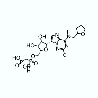 O=P(O)(O)CP(=O)(O)OC[C@H]1O[C@@H](c2cnc3c(NCC4CCCO4)nc(Cl)nn23)[C@H](O)[C@@H]1O